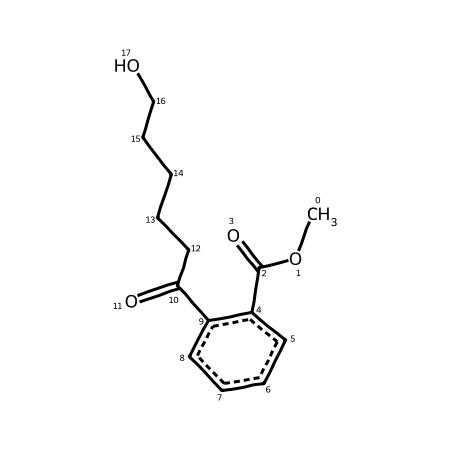 COC(=O)c1ccccc1C(=O)CCCCCO